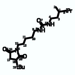 CC(C)C(C)CCNC(=O)NCCCCCN1C(=O)CC(C(C)(C)C)C1=O